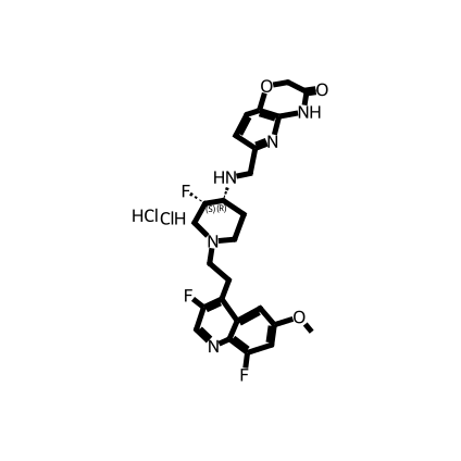 COc1cc(F)c2ncc(F)c(CCN3CC[C@@H](NCc4ccc5c(n4)NC(=O)CO5)[C@@H](F)C3)c2c1.Cl.Cl